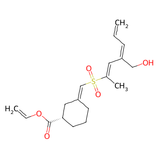 C=C/C=C(\C=C(/C)S(=O)(=O)/C=C1\CCC[C@H](C(=O)OC=C)C1)CO